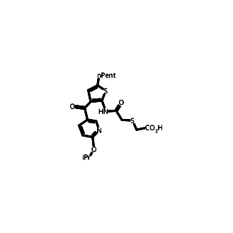 CCCCCc1cc(C(=O)c2ccc(OC(C)C)nc2)c(NC(=O)CSCC(=O)O)s1